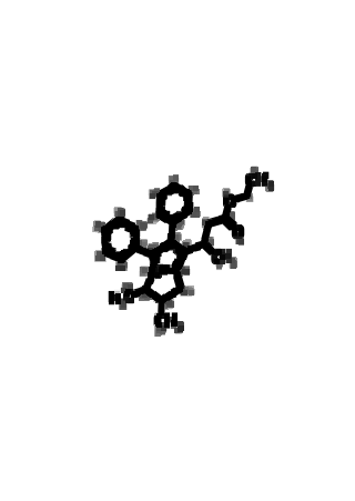 CCOC(=O)CC(C)c1c(-c2ccccc2)c(-c2ccccc2)n2c1CC(C)C2C